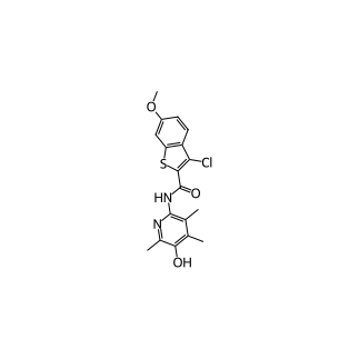 COc1ccc2c(Cl)c(C(=O)Nc3nc(C)c(O)c(C)c3C)sc2c1